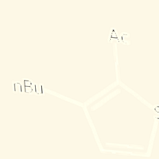 CCCCc1ccsc1C(C)=O